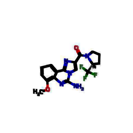 COc1cccc2c1nc(N)n1cc(C(=O)N3CCC[C@@H]3C(F)(F)F)nc21